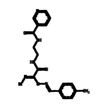 CC/N=C(\O/N=C/c1ccc(C)cc1)C(=O)NCCNC(=O)c1cccnc1